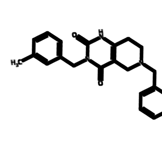 Cc1cccc(Cn2c(=O)[nH]c3c(c2=O)CN(Cc2ccccc2)CC3)c1